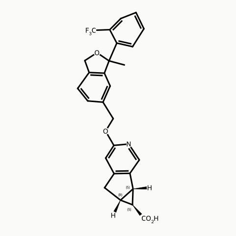 CC1(c2ccccc2C(F)(F)F)OCc2ccc(COc3cc4c(cn3)[C@H]3[C@@H](C4)[C@@H]3C(=O)O)cc21